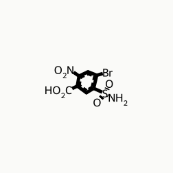 NS(=O)(=O)c1cc(C(=O)O)c([N+](=O)[O-])cc1Br